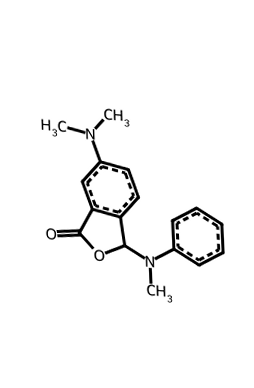 CN(C)c1ccc2c(c1)C(=O)OC2N(C)c1ccccc1